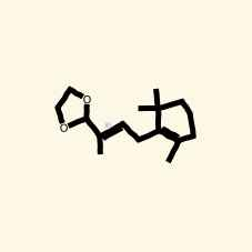 CC1=C(C/C=C(\C)C2OCCO2)C(C)(C)CCC1